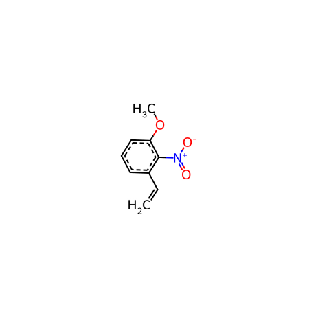 C=Cc1cccc(OC)c1[N+](=O)[O-]